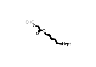 CCCCCCCCCCCCOC(=O)CO[C]=O